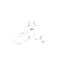 CC1(C)CC(NN(C(=O)CCC(N)=O)c2ccccc2)CC(C)(C)N1